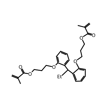 C=C(C)C(=O)OCCCOc1ccccc1C(CC)c1ccccc1OCCCOC(=O)C(=C)C